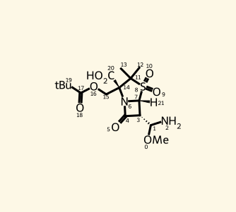 COC(N)[C@@H]1C(=O)N2[C@@H]1S(=O)(=O)C(C)(C)[C@]2(COC(=O)C(C)(C)C)C(=O)O